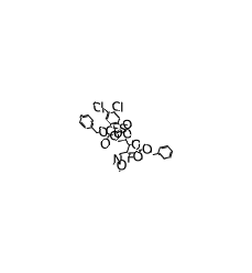 CO/N=C\[C@@H](F)[C@H](OC(=O)OCc1ccccc1)[C@@H](COC(=O)OCc1ccccc1)OS(=O)(=O)c1cc(Cl)c(Cl)cc1Cl